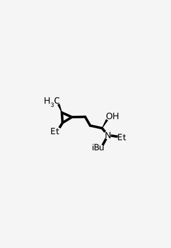 CCC1C(CC[C@@H](O)N(CC)C(C)CC)[C@@H]1C